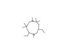 CCC1CN(C)C(CC)CC(C)(C)CN(C)C(C)(C)C1